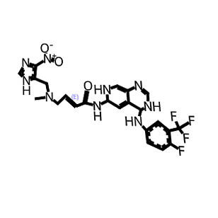 CN(C/C=C/C(=O)NC1C=C2C(=CN1)N=CNC2Nc1ccc(F)c(C(F)(F)F)c1)Cc1[nH]cnc1[N+](=O)[O-]